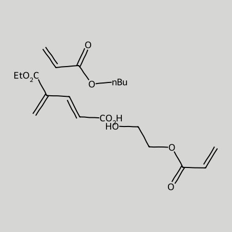 C=C(C=CC(=O)O)C(=O)OCC.C=CC(=O)OCCCC.C=CC(=O)OCCO